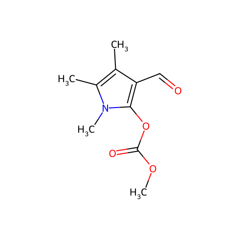 COC(=O)Oc1c(C=O)c(C)c(C)n1C